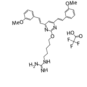 COc1cccc(C=Cc2cc(C=Cc3cccc(OC)c3)nc(OCCCCCNC(=N)N)n2)c1.O=C(O)C(F)(F)F